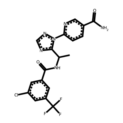 CC(NC(=O)c1cc(Cl)cc(C(F)(F)F)c1)c1ncnn1-c1ccc(C(N)=O)cn1